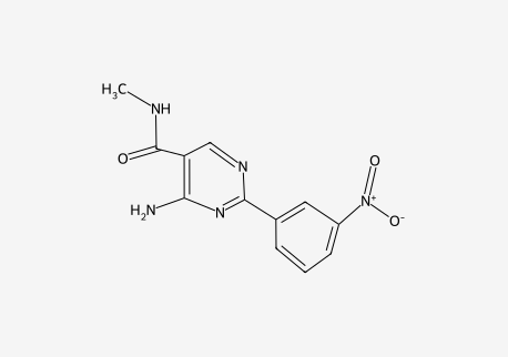 CNC(=O)c1cnc(-c2cccc([N+](=O)[O-])c2)nc1N